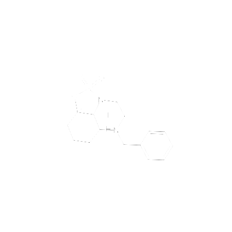 O=S1(=O)O[C@@H]2CCC[C@H]3[C@@H]2N1CCN3Cc1ccccc1